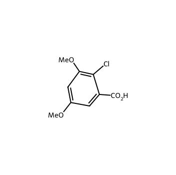 COc1cc(OC)c(Cl)c(C(=O)O)c1